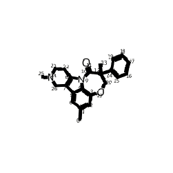 Cc1cc2c3c(c1)c1c(n3C(=O)C(C)(c3ccccc3)CO2)CCN(C)C1